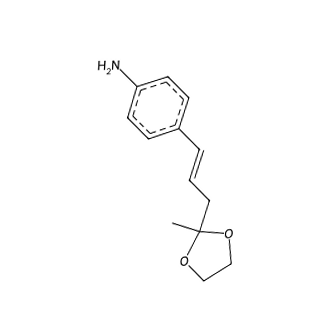 CC1(CC=Cc2ccc(N)cc2)OCCO1